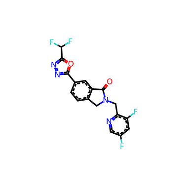 O=C1c2cc(-c3nnc(C(F)F)o3)ccc2CN1Cc1ncc(F)cc1F